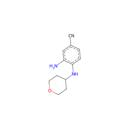 N#Cc1ccc(NC2CCOCC2)c(N)c1